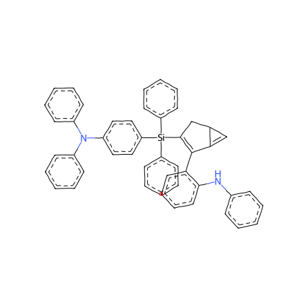 C1=C2C(c3ccccc3Nc3ccccc3)=C([Si](c3ccccc3)(c3ccccc3)c3ccc(N(c4ccccc4)c4ccccc4)cc3)CC12